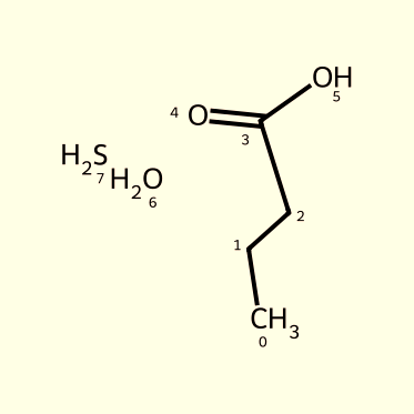 CCCC(=O)O.O.S